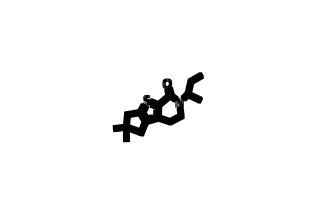 CCC(C)N1CCc2c(sc3c2CC(C)(C)C3)C1=O